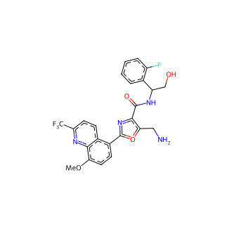 COc1ccc(-c2nc(C(=O)NC(CO)c3ccccc3F)c(CN)o2)c2ccc(C(F)(F)F)nc12